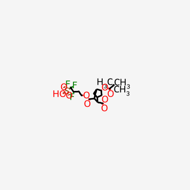 CC(C)(C)C(=O)OC1C2CC3C1OC(=O)C3C2C(=O)OCCC(F)C(F)(F)S(=O)(=O)O